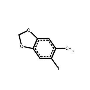 Cc1cc2c(cc1I)OCO2